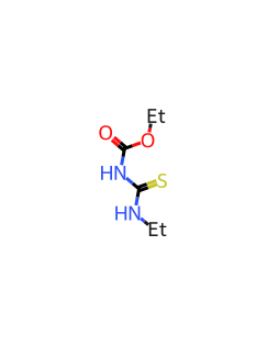 CCNC(=S)NC(=O)OCC